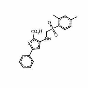 Cc1ccc(S(=O)(=O)CNc2cc(-c3ccccc3)sc2C(=O)O)c(C)c1